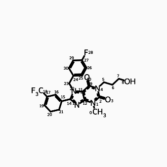 Cn1c(=O)n(CCCO)c(=O)c2c1nc(C1=CC(C(F)(F)F)=CCC1)n2CC1=C=C=C(F)C=C1